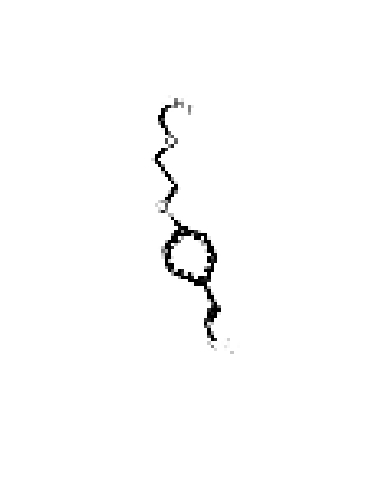 [CH2]/C=C/c1ccc(OCCOCC)cc1